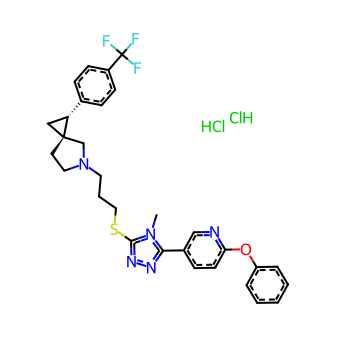 Cl.Cl.Cn1c(SCCCN2CC[C@]3(C[C@@H]3c3ccc(C(F)(F)F)cc3)C2)nnc1-c1ccc(Oc2ccccc2)nc1